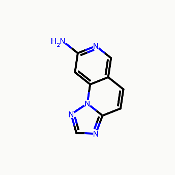 Nc1cc2c(ccc3ncnn32)cn1